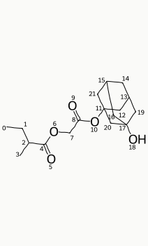 CCC(C)C(=O)OCC(=O)OC12CC3CC(CC(O)(C3)C1)C2